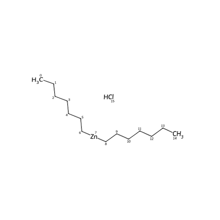 CCCCCC[CH2][Zn][CH2]CCCCCC.Cl